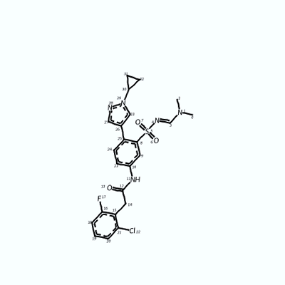 CN(C)C=NS(=O)(=O)c1cc(NC(=O)Cc2c(F)cccc2Cl)ccc1-c1cnn(C2CC2)c1